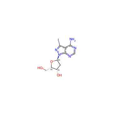 Nc1ncnc2c1c(I)nn2[C@H]1C[C@H](O)[C@H](CO)O1